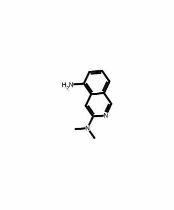 CN(C)c1cc2c(N)cccc2cn1